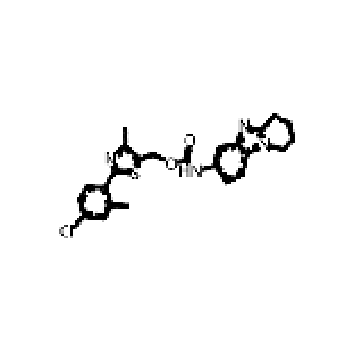 Cc1cc(Cl)ccc1-c1nc(C)c(COC(=O)Nc2ccc3c(c2)nc2n3CCCC2)s1